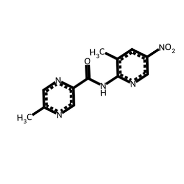 Cc1cnc(C(=O)Nc2ncc([N+](=O)[O-])cc2C)cn1